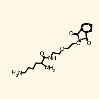 NCCCCC(N)C(=O)NCCOCCON1C(=O)c2ccccc2C1=O